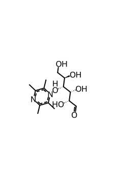 Cc1nc(C)c(C)nc1C.O=C[C@H](O)[C@@H](O)[C@H](O)[C@H](O)CO